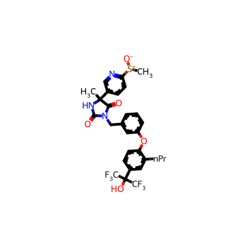 CCCc1cc(C(O)(C(F)(F)F)C(F)(F)F)ccc1Oc1cccc(CN2C(=O)NC(C)(c3ccc([S+](C)[O-])nc3)C2=O)c1